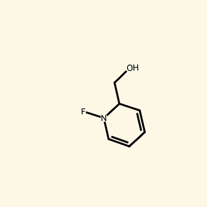 OCC1C=CC=CN1F